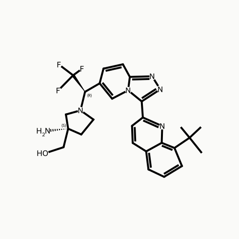 CC(C)(C)c1cccc2ccc(-c3nnc4ccc([C@@H](N5CC[C@@](N)(CO)C5)C(F)(F)F)cn34)nc12